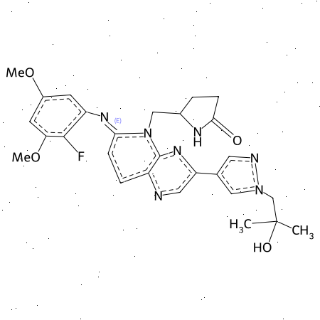 COc1cc(/N=c2\ccc3ncc(-c4cnn(CC(C)(C)O)c4)nc3n2CC2CCC(=O)N2)c(F)c(OC)c1